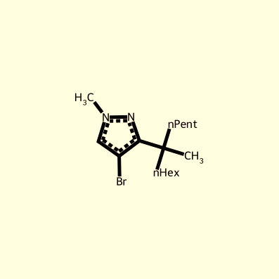 CCCCCCC(C)(CCCCC)c1nn(C)cc1Br